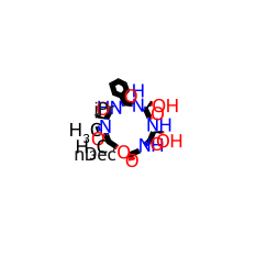 CCCCCCCCCC[C@H]1OC(=O)CNC(=O)[C@H](CO)NC(=O)[C@H](CO)NC(=O)C(C2CCCCC2)NC(=O)[C@H](CC(C)C)N(C)C(=O)[C@@H]1C